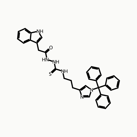 O=C(Cc1c[nH]c2ccccc12)NNC(=S)NCCCc1cn(C(c2ccccc2)(c2ccccc2)c2ccccc2)cn1